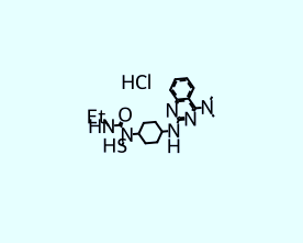 CCNC(=O)N(S)C1CCC(Nc2nc(N(C)C)c3ccccc3n2)CC1.Cl